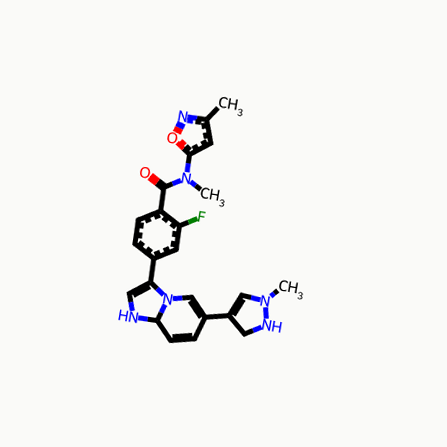 Cc1cc(N(C)C(=O)c2ccc(C3=CNC4C=CC(C5=CN(C)NC5)=CN34)cc2F)on1